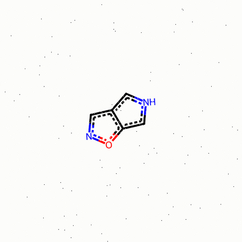 c1noc2c[nH]cc12